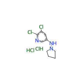 Cl.Cl.Clc1cc(NN2CCCC2)cnc1Cl